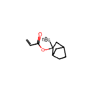 C=CC(=O)OC1(CCCC)CC2CCC1C2